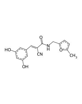 Cc1ccc(CNC(=O)/C(C#N)=C/c2cc(O)cc(O)c2)o1